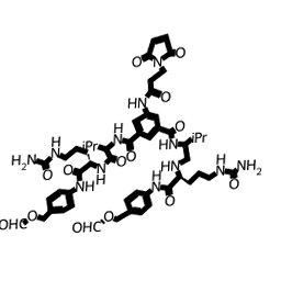 CC(C)C(CN[C@@H](CCCNC(N)=O)C(=O)Nc1ccc(COC=O)cc1)NC(=O)c1cc(NC(=O)CCN2C(=O)C=CC2=O)cc(C(=O)NC(C(=O)N[C@@H](CCCNC(N)=O)C(=O)Nc2ccc(COC=O)cc2)C(C)C)c1